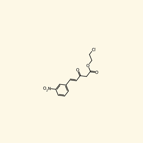 O=C(C=Cc1cccc([N+](=O)[O-])c1)CC(=O)OCCCl